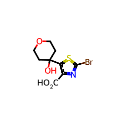 O=C(O)c1nc(Br)sc1C1(O)CCOCC1